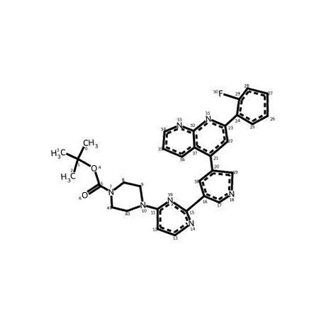 CC(C)(C)OC(=O)N1CCN(c2ccnc(-c3cncc(-c4cc(-c5ccccc5F)nc5ncccc45)c3)n2)CC1